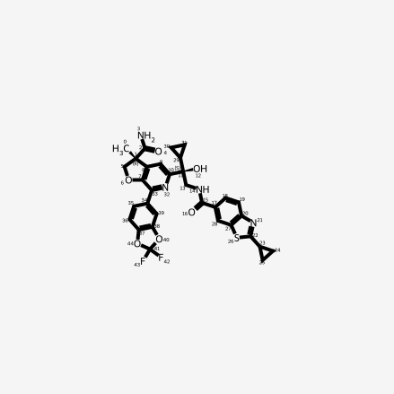 C[C@]1(C(N)=O)COc2c1cc([C@@](O)(CNC(=O)c1ccc3nc(C4CC4)sc3c1)C1CC1)nc2-c1ccc2c(c1)OC(F)(F)O2